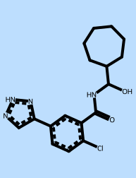 O=C(NC(O)C1CCCCCC1)c1cc(-c2cn[nH]n2)ccc1Cl